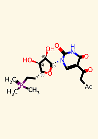 C=P(C)(C)CC[C@H]1O[C@@H](n2cc(C(=O)CC(C)=O)c(=O)[nH]c2=O)[C@H](O)[C@@H]1O